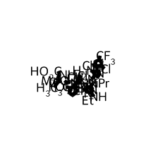 CCNc1nc(Cl)nc(NC(C)C)n1.CCc1cccc(C)c1N(C(=O)CCl)C(C)COC.CP(=O)(O)CCC(N)C(=O)O.Nc1c([N+](=O)[O-])cnn1-c1c(Cl)cc(C(F)(F)F)cc1Cl